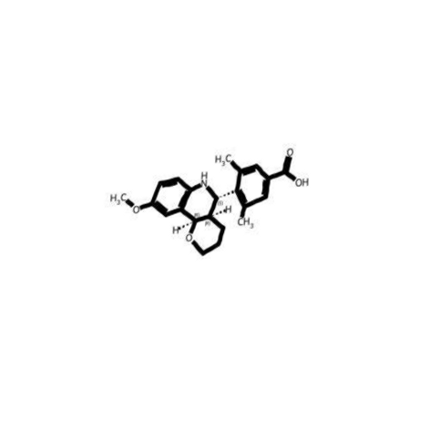 COc1ccc2c(c1)[C@@H]1OCCC[C@@H]1[C@@H](c1c(C)cc(C(=O)O)cc1C)N2